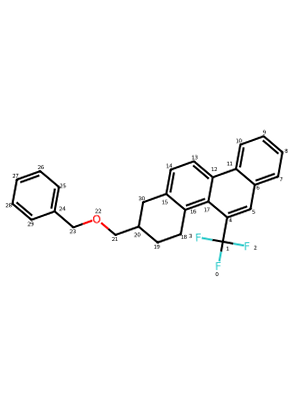 FC(F)(F)c1cc2ccccc2c2ccc3c(c12)CCC(COCc1ccccc1)C3